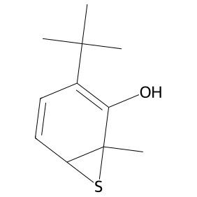 CC(C)(C)C1=C(O)C2(C)SC2C=C1